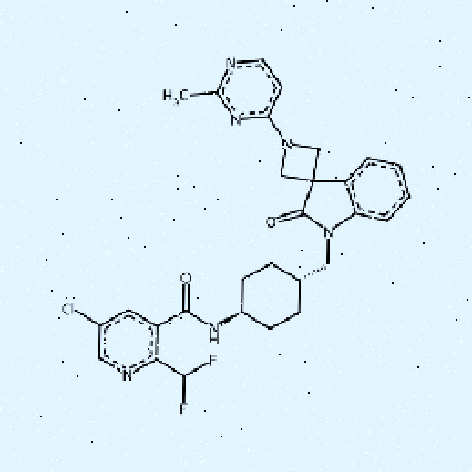 Cc1nccc(N2CC3(C2)C(=O)N(C[C@H]2CC[C@H](NC(=O)c4cc(Cl)cnc4C(F)F)CC2)c2ccccc23)n1